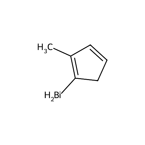 CC1=[C]([BiH2])CC=C1